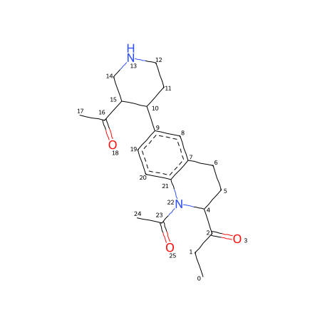 CCC(=O)C1CCc2cc(C3CCNCC3C(C)=O)ccc2N1C(C)=O